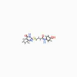 O=C(CCCSc1nc2c(c(=O)[nH]1)CCCC2)Nc1ccc(O)cc1